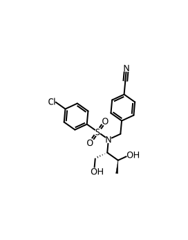 C[C@H](O)[C@H](CO)N(Cc1ccc(C#N)cc1)S(=O)(=O)c1ccc(Cl)cc1